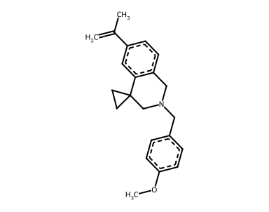 C=C(C)c1ccc2c(c1)C1(CC1)CN(Cc1ccc(OC)cc1)C2